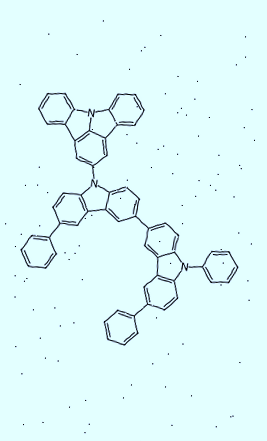 c1ccc(-c2ccc3c(c2)c2cc(-c4ccc5c(c4)c4cc(-c6ccccc6)ccc4n5-c4cc5c6ccccc6n6c7ccccc7c(c4)c56)ccc2n3-c2ccccc2)cc1